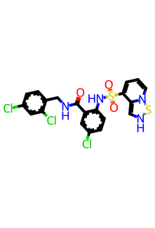 O=C(NCc1ccc(Cl)cc1Cl)c1cc(Cl)ccc1NS(=O)(=O)C1=CC=CN2SNC=C12